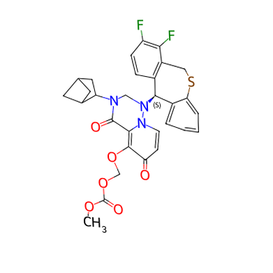 COC(=O)OCOc1c2n(ccc1=O)N([C@@H]1c3ccccc3SCc3c1ccc(F)c3F)CN(C1CC3CC1C3)C2=O